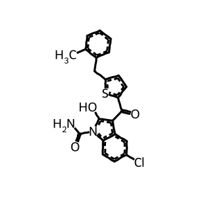 Cc1ccccc1Cc1ccc(C(=O)c2c(O)n(C(N)=O)c3ccc(Cl)cc23)s1